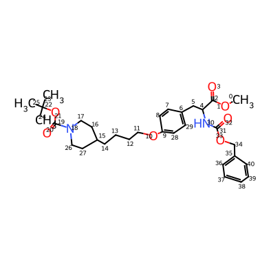 COC(=O)C(Cc1ccc(OCCCCC2CCN(C(=O)OC(C)(C)C)CC2)cc1)NC(=O)OCc1ccccc1